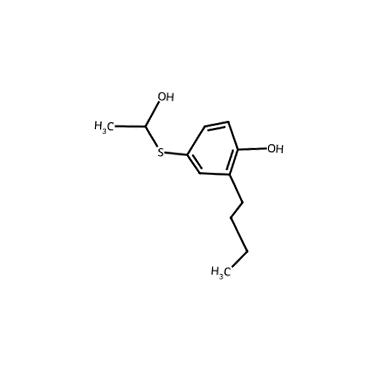 CCCCc1cc(SC(C)O)ccc1O